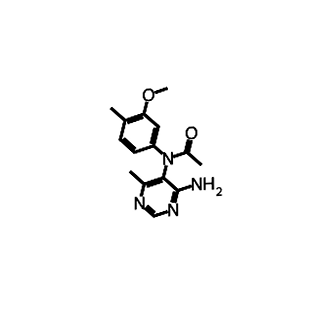 COc1cc(N(C(C)=O)c2c(C)ncnc2N)ccc1C